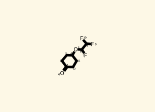 O=C1CCC(OC(F)C(F)F)CC1